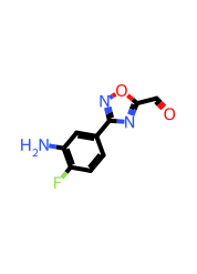 Nc1cc(-c2noc(C=O)n2)ccc1F